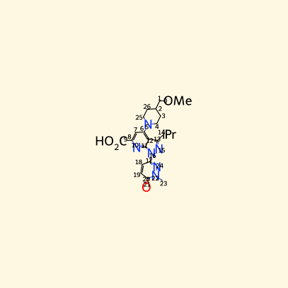 COCC1CCN(c2cc(C(=O)O)nc3c2c(C(C)C)nn3-c2ccc(=O)n(C)n2)CC1